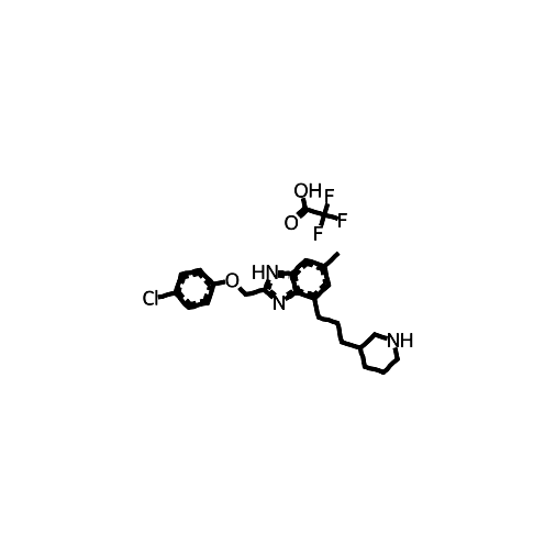 Cc1cc(CCCC2CCCNC2)c2nc(COc3ccc(Cl)cc3)[nH]c2c1.O=C(O)C(F)(F)F